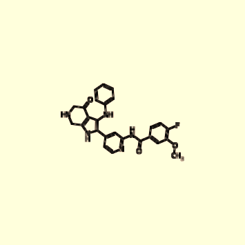 COc1cc(C(=O)Nc2cc(-c3[nH]c4c(c3Nc3ccccc3)C(=O)CNC4)ccn2)ccc1F